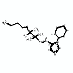 CCCCCC(C)(C)C(C)(C)OBc1cncn1C1CCCCO1